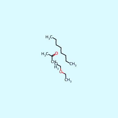 CC(C)=O.CCCCCCCC.CCOCC